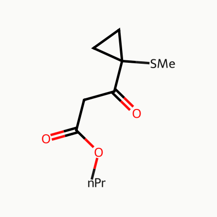 CCCOC(=O)CC(=O)C1(SC)CC1